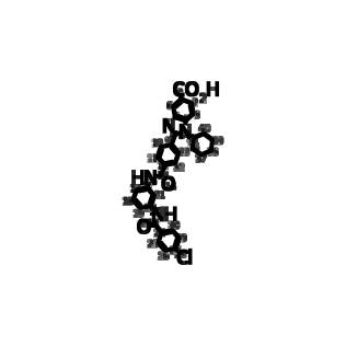 O=C(O)c1ccc2c(c1)nc(-c1ccc(C(=O)Nc3cccc(NC(=O)c4ccc(Cl)cc4)c3)cc1)n2C1CCCCC1